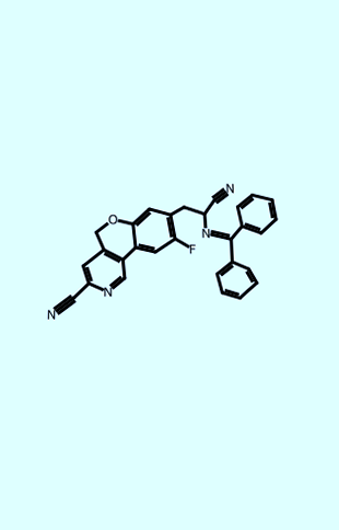 N#Cc1cc2c(cn1)-c1cc(F)c(CC(C#N)N=C(c3ccccc3)c3ccccc3)cc1OC2